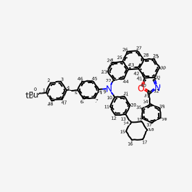 CC(C)(C)c1ccc(-c2ccc(N(c3ccc(C4CCCCC4)cc3)c3ccc4ccc5ccc6nc(-c7ccccc7)oc6c5c4c3)cc2)cc1